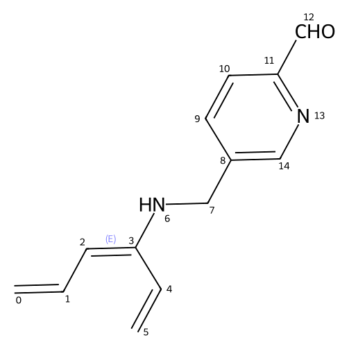 C=C/C=C(\C=C)NCc1ccc(C=O)nc1